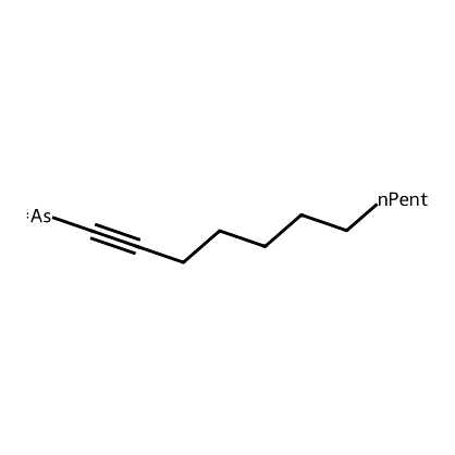 CCCCCCCCCCC#C[As]